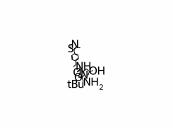 Cc1ncsc1-c1ccc(C(C)NC(=O)C2CC(O)CN2C(=O)[C@@H](N)C(C)(C)C)cc1